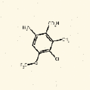 Cc1c(Cl)c(OC(F)(F)F)cc(N)c1C(=O)O